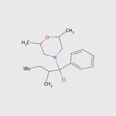 CC1CN(C(Cl)(c2ccccc2)C(C)CC(C)(C)C)CC(C)O1